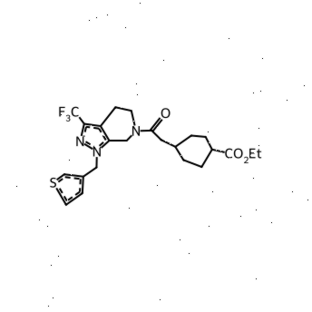 CCOC(=O)C1CCC(CC(=O)N2CCc3c(C(F)(F)F)nn(Cc4ccsc4)c3C2)CC1